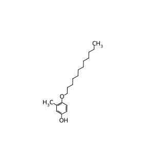 CCCCCCCCCCCCOc1ccc(O)cc1C